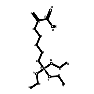 C=C(CCCCC[Si](OCC)(OCC)OCC)C(=O)O